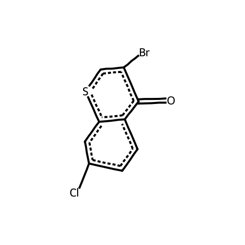 O=c1c(Br)csc2cc(Cl)ccc12